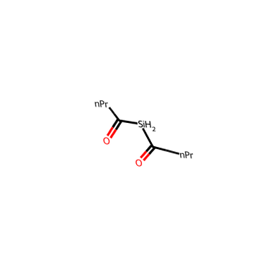 CCCC(=O)[SiH2]C(=O)CCC